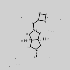 IN1C[C@@H]2CN(CC3CCC3)C[C@@H]2C1